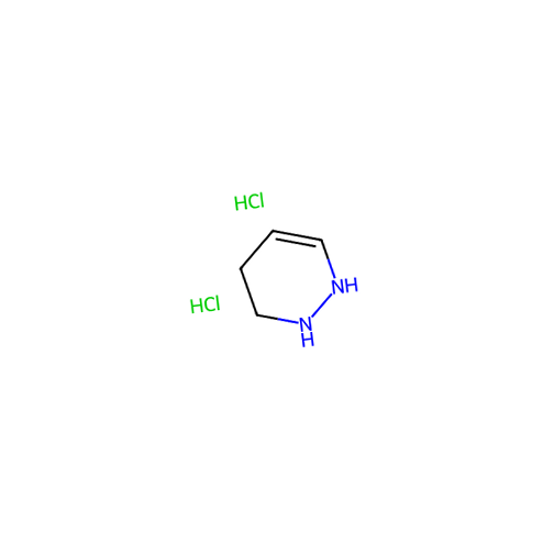 C1=CNNCC1.Cl.Cl